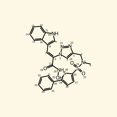 CN(Cc1cn(C(=Cc2c[nH]c3ccccc23)C(=O)NO)nn1)S(=O)(=O)c1ccc(-c2ccccc2)s1